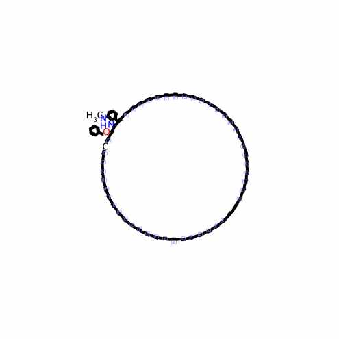 CNc1cccc2c1N=C1C=C(OCc3ccccc3)/C=C/C/C=C/C=C/C=C/C=C/C=C/C=C/C=C/C=C/C=C/C=C\C=C/C=C/C=C/C=C\C=C/C=C/C=C/C=C/C=C/C=C/C=C/C=CC=C/C=C/C=C/C=C/C=C/C=C/C=C/C=C\C=C/C=C/C=C/C=C/C=C\C=C/C=C/C=C/C=C/C=C/C=C/C=C/C=C/C=C/C=C/C=C/C=C12